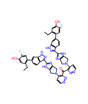 CCc1cc(O)c(F)cc1-c1ccc2c(-c3nc4c([nH]3)CN(c3ccnnc3C(=O)c3nnccc3N3Cc5nc(-c6n[nH]c7cc(-c8cc(F)c(O)cc8CC)ccc67)[nH]c5C3)C4)n[nH]c2c1